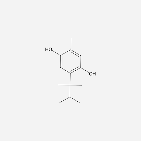 Cc1cc(O)c(C(C)(C)C(C)C)cc1O